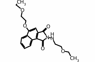 CCOCCNN1C(=O)c2cc(OCCOCC)c3ccccc3c2C1=O